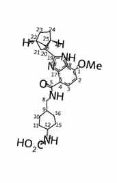 COc1ccc(C(=O)NCC2CCC(NC(=O)O)CC2)c2nc(C3C[C@@H]4CC[C@H]3C4)[nH]c12